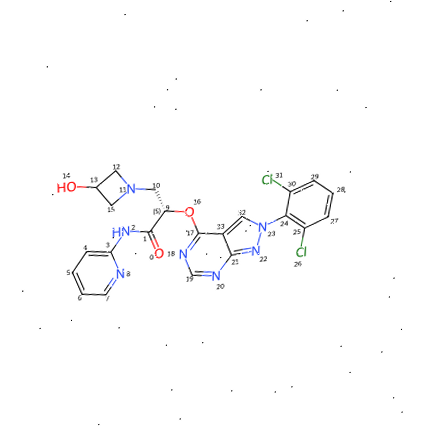 O=C(Nc1ccccn1)[C@H](CN1CC(O)C1)Oc1ncnc2nn(-c3c(Cl)cccc3Cl)cc12